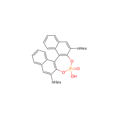 CCCCCCc1cc2ccccc2c2c1OP(=O)(O)Oc1c(CCCCCC)cc3ccccc3c1-2